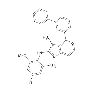 COc1cc(Cl)cc(C)c1Nc1nc2cccc(-c3cccc(-c4ccccc4)c3)c2n1C